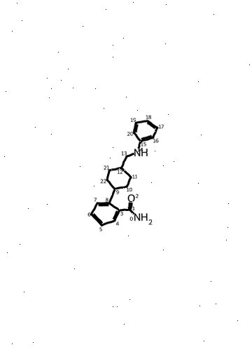 NC(=O)c1ccccc1C1CCC(CNc2ccccc2)CC1